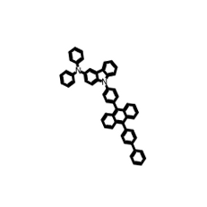 c1ccc(-c2ccc(-c3c4ccccc4c(-c4ccc(-n5c6ccccc6c6cc(N(c7ccccc7)c7ccccc7)ccc65)cc4)c4ccccc34)cc2)cc1